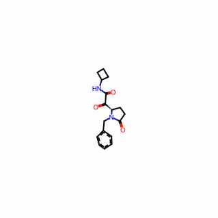 O=C(NC1CCC1)C(=O)[C@H]1CCC(=O)N1Cc1ccccc1